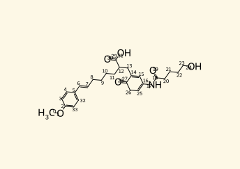 COc1ccc(/C=C/CCCCC(CC2=CC(NC(=O)CCCCO)=CCC2=O)C(=O)O)cc1